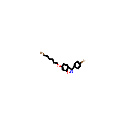 BrCCCCCCOc1ccc2c(-c3ccc(Br)cc3)noc2c1